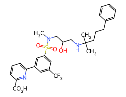 CN(CC(O)CNC(C)(C)CCCc1ccccc1)S(=O)(=O)c1cc(-c2cccc(C(=O)O)n2)cc(C(F)(F)F)c1